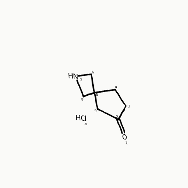 Cl.O=C1CCC2(CNC2)C1